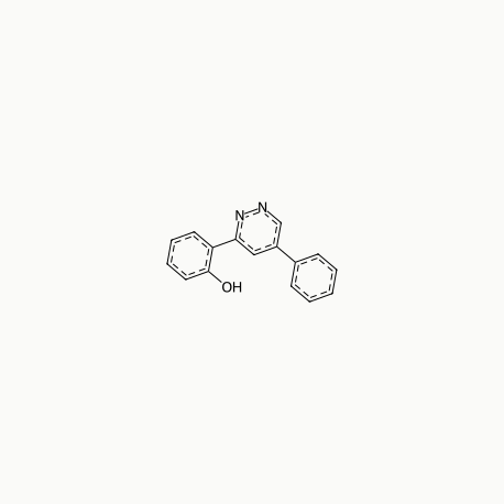 Oc1ccccc1-c1cc(-c2ccccc2)cnn1